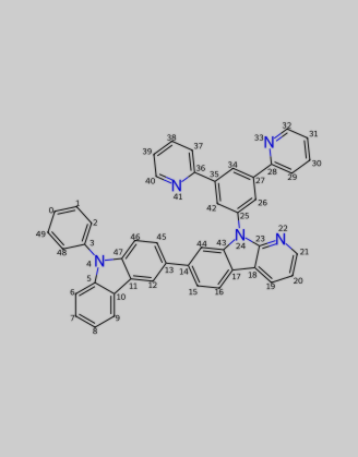 c1ccc(-n2c3ccccc3c3cc(-c4ccc5c6cccnc6n(-c6cc(-c7ccccn7)cc(-c7ccccn7)c6)c5c4)ccc32)cc1